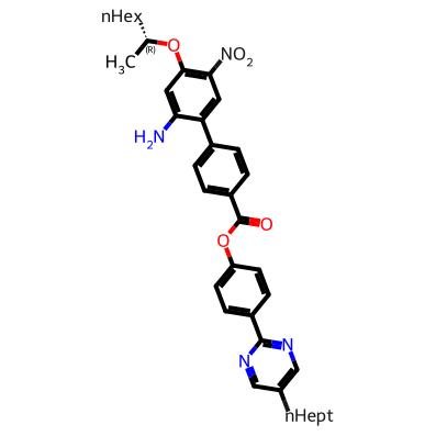 CCCCCCCc1cnc(-c2ccc(OC(=O)c3ccc(-c4cc([N+](=O)[O-])c(O[C@H](C)CCCCCC)cc4N)cc3)cc2)nc1